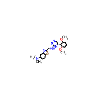 COc1cccc(OC)c1-c1cnnc(NCc2nc3cc(N(C)C)ccc3s2)n1